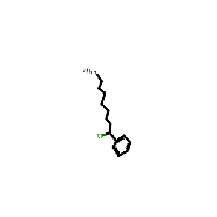 CCCCCCCCCCCCCCCCC(Cl)c1ccccc1